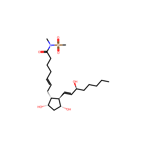 CCCCC[C@H](O)C=C[C@@H]1[C@@H](CC=CCCCC(=O)N(C)S(C)(=O)=O)[C@@H](O)C[C@H]1O